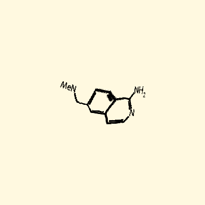 CNCc1ccc2c(N)nccc2c1